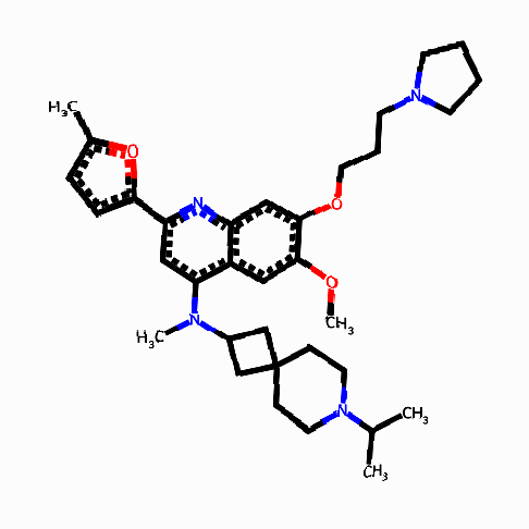 COc1cc2c(N(C)C3CC4(CCN(C(C)C)CC4)C3)cc(-c3ccc(C)o3)nc2cc1OCCCN1CCCC1